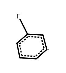 Fc1c[c][c]cc1